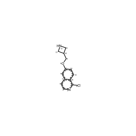 Clc1nccc2cc(OCC3CNC3)ccc12